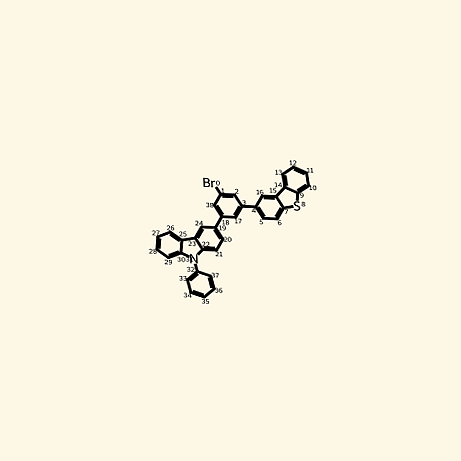 Brc1cc(-c2ccc3sc4ccccc4c3c2)cc(-c2ccc3c(c2)c2ccccc2n3-c2ccccc2)c1